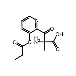 CCC(=O)Oc1cccnc1C(=O)C(C)(N)C(=O)O